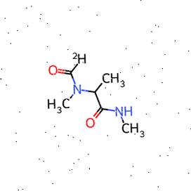 [2H]C(=O)N(C)C(C)C(=O)NC